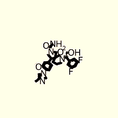 COc1cc(C2CN(C(N)=O)CC23CCCN([C@@H](CO)c2cc(F)cc(F)c2)C3=O)ccc1-n1cnc(C)c1